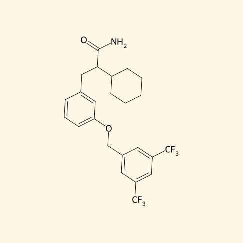 NC(=O)C(Cc1cccc(OCc2cc(C(F)(F)F)cc(C(F)(F)F)c2)c1)C1CCCCC1